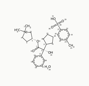 C[N+]1(C)CC[C@@H](OC(=O)[C@](O)(c2ccccc2)C2CCCC2)C1.Cc1ccc(S(=O)(=O)O)cc1.O